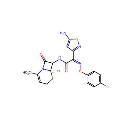 Nc1nc(/C(=N/Oc2ccc(Cl)cc2)C(=O)NC2C(=O)N3C(C(=O)O)=CCS[C@H]23)ns1